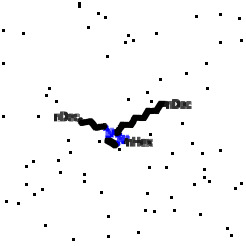 CCCCCCCCCCCCCCCCCc1n(CCCCCCCCCCCCCC)cc[n+]1CCCCCC